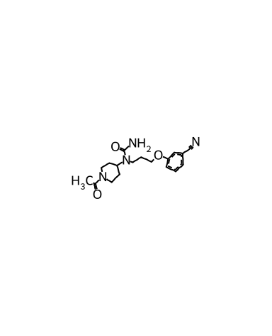 CC(=O)N1CCC(N(CCCOc2cccc(C#N)c2)C(N)=O)CC1